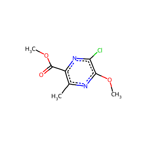 COC(=O)c1nc(Cl)c(OC)nc1C